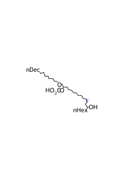 CCCCCCCCCCCCCCCCCCOCC(CCCCCCCC/C=C\CC(O)CCCCCC)OC(=O)O